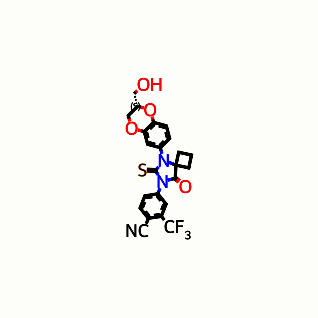 N#Cc1ccc(N2C(=O)C3(CCC3)N(c3ccc4c(c3)OC[C@H](CO)O4)C2=S)cc1C(F)(F)F